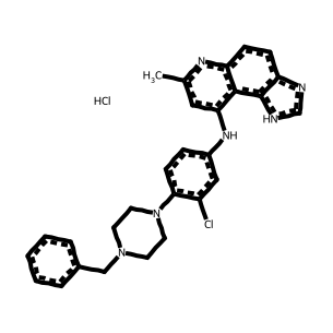 Cc1cc(Nc2ccc(N3CCN(Cc4ccccc4)CC3)c(Cl)c2)c2c(ccc3nc[nH]c32)n1.Cl